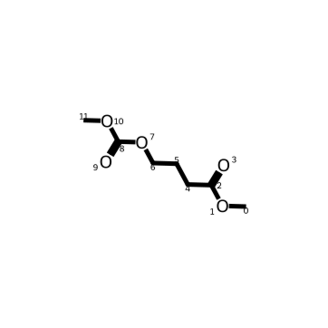 COC(=O)CCCOC(=O)OC